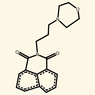 O=C1c2cccc3cccc(c23)C(=O)N1CCCN1CCOCC1